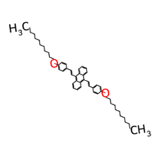 CCCCCCCCCCCCOc1ccc(C=Cc2c3ccccc3c(C=Cc3ccc(OCCCCCCCCCCCC)cc3)c3ccccc23)cc1